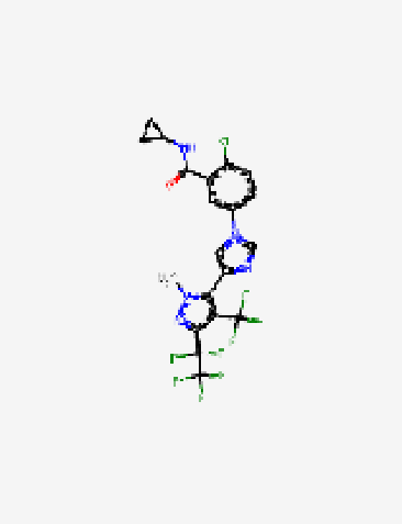 Cn1nc(C(F)(F)C(F)(F)F)c(C(F)(F)F)c1-c1cn(-c2ccc(Cl)c(C(=O)NC3CC3)c2)cn1